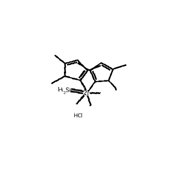 CC1=CC(C)=[C]([Zr]([CH3])([CH3])([CH3])(=[SiH2])[C]2=C(C)C=C(C)C2C)C1C.Cl